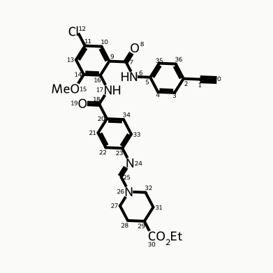 C#Cc1ccc(NC(=O)c2cc(Cl)cc(OC)c2NC(=O)c2ccc(N=CN3CCC(C(=O)OCC)CC3)cc2)cc1